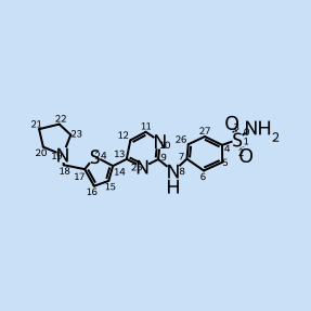 NS(=O)(=O)c1ccc(Nc2nccc(-c3ccc(CN4CCCC4)s3)n2)cc1